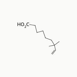 C=CC(C)(C)CCCCCC(=O)O